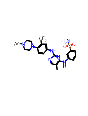 CC(=O)N1CCN(c2ccc(Nc3ncc(C)c(Nc4cccc(S(N)(=O)=O)c4)n3)cc2C(F)(F)F)CC1